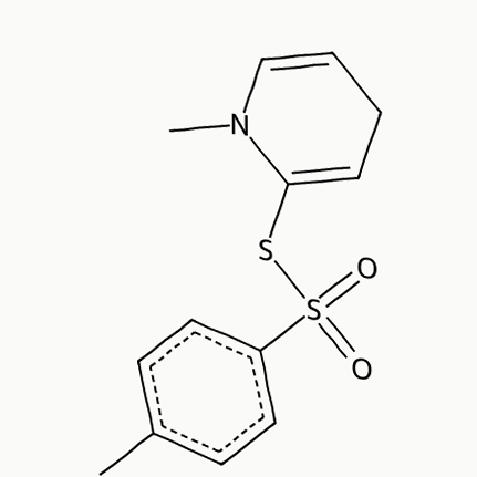 Cc1ccc(S(=O)(=O)SC2=CCC=CN2C)cc1